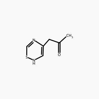 CC(=O)CC1=CNSC=N1